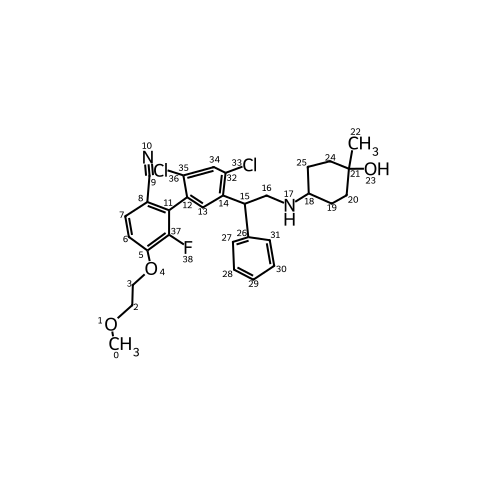 COCCOc1ccc(C#N)c(-c2cc(C(CNC3CCC(C)(O)CC3)c3ccccc3)c(Cl)cc2Cl)c1F